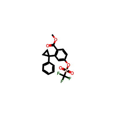 COC(=O)c1ccc(OS(=O)(=O)C(F)(F)F)cc1C1(c2ccccc2)CC1